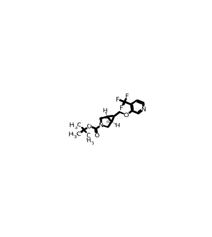 CC(C)(C)OC(=O)N1C[C@@H]2C(COc3cnccc3C(F)(F)F)[C@@H]2C1